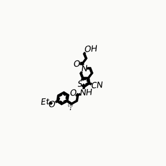 CCOc1cccc([C@@H](C)CC(=O)Nc2sc3c(c2C#N)CCN(C(=O)CCO)C3)c1